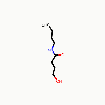 O=CCCCNC(=O)CCCO